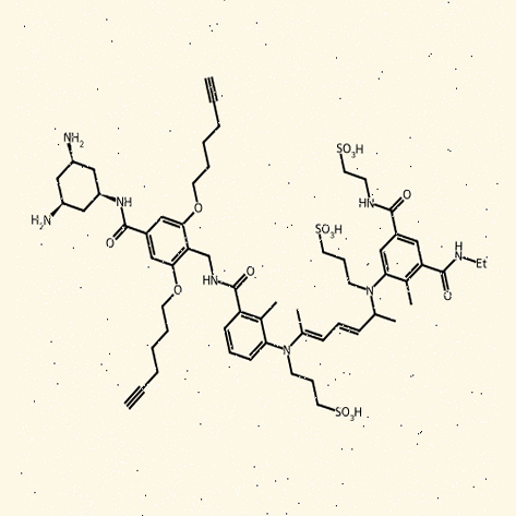 C#CCCCCOc1cc(C(=O)N[C@@H]2C[C@H](N)C[C@H](N)C2)cc(OCCCCC#C)c1CNC(=O)c1cccc(N(CCCS(=O)(=O)O)/C(C)=C/C=C/C(C)N(CCCS(=O)(=O)O)c2cc(C(=O)NCCS(=O)(=O)O)cc(C(=O)NCC)c2C)c1C